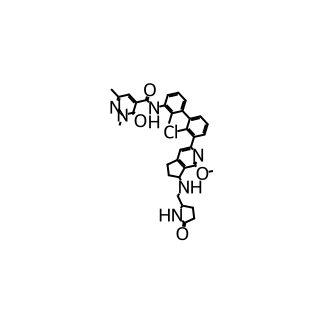 COc1nc(-c2cccc(-c3cccc(NC(=O)c4cc(C)nn(C)c4=O)c3C)c2Cl)cc2c1C(NCC1CCC(=O)N1)CC2